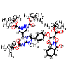 Cn1c(-c2ccc(OCC(ON3C(=O)c4ccccc4C3=O)C(=O)OC(C)(C)C)cc2)cn(CC(CNC(=O)OC(C)(C)C)CNC(=O)OC(C)(C)C)c1=NC(=O)OC(C)(C)C